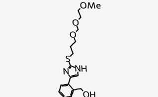 COCCOCOCCCSc1nc(-c2ccccc2CO)c[nH]1